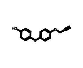 C#CCOc1ccc(Sc2ccc(O)cc2)cc1